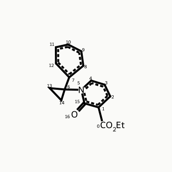 CCOC(=O)c1cccn(C2(c3ccccc3)CC2)c1=O